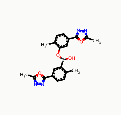 Cc1nnc(-c2ccc(C)c(OB(O)c3cc(-c4nnc(C)o4)ccc3C)c2)o1